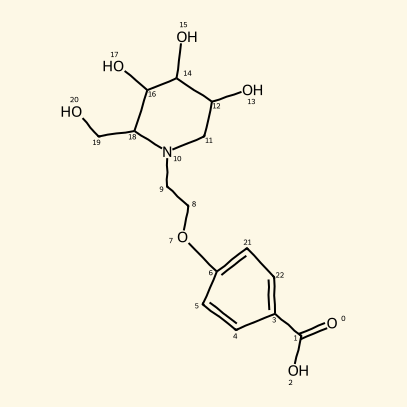 O=C(O)c1ccc(OCCN2CC(O)C(O)C(O)C2CO)cc1